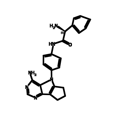 Nc1ncnc2c3c(n(-c4ccc(NC(=O)[C@@H](N)c5ccccc5)cc4)c12)CCC3